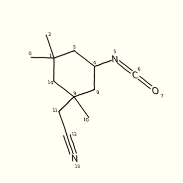 CC1(C)CC(N=C=O)CC(C)(CC#N)C1